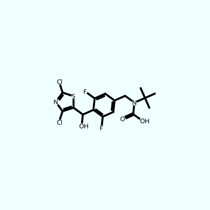 CC(C)(C)N(Cc1cc(F)c(C(O)c2sc(Cl)nc2Cl)c(F)c1)C(=O)O